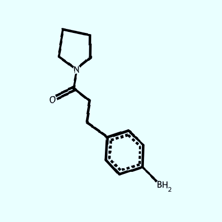 Bc1ccc(CCC(=O)N2CCCC2)cc1